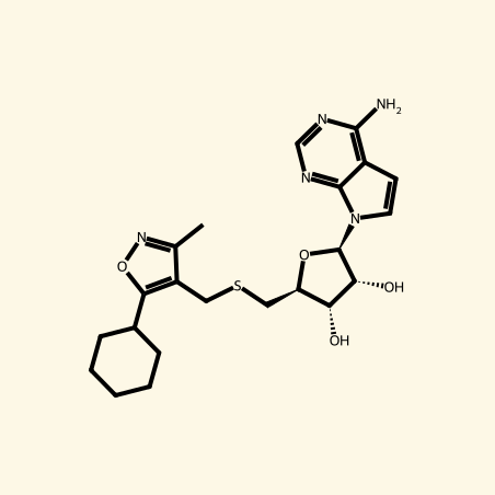 Cc1noc(C2CCCCC2)c1CSC[C@H]1O[C@@H](n2ccc3c(N)ncnc32)[C@H](O)[C@@H]1O